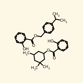 CC(C)c1ccc(COC(=O)c2ccccc2O)cc1.CC1CC(OC(=O)c2ccccc2O)CC(C)(C)C1